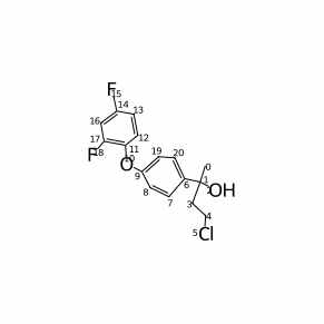 CC(O)(CCCl)c1ccc(Oc2ccc(F)cc2F)cc1